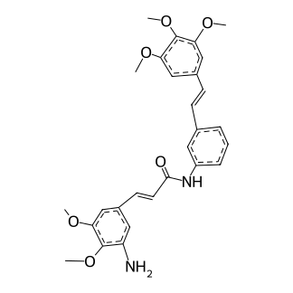 COc1cc(/C=C/C(=O)Nc2cccc(/C=C/c3cc(OC)c(OC)c(OC)c3)c2)cc(N)c1OC